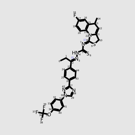 CC/C(=N\NC(=S)/N=C1\SCC2=CC(C)c3cc(F)ccc3N21)c1ccc(-c2ncn(-c3ccc(OC(F)(F)F)cc3)n2)cc1